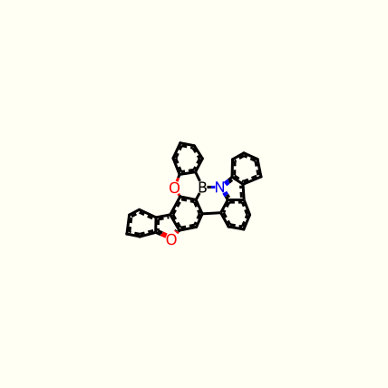 c1ccc2c(c1)Oc1c3c(cc4oc5ccccc5c14)-c1cccc4c5ccccc5n(c14)B23